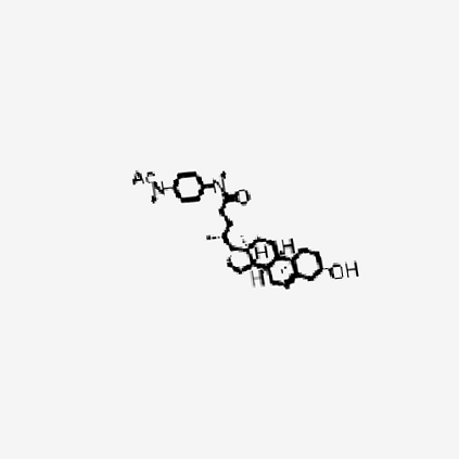 CC(=O)N(C)[C@H]1CC[C@@H](N(C)C(=O)CC[C@@H](C)[C@H]2CC[C@H]3[C@@H]4CC=C5C[C@@H](O)CC[C@]5(C)[C@H]4CC[C@]23C)CC1